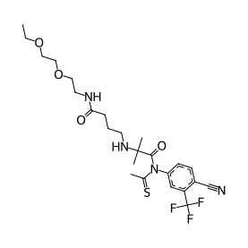 CCOCCOCCNC(=O)CCCNC(C)(C)C(=O)N(C(C)=S)c1ccc(C#N)c(C(F)(F)F)c1